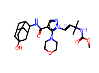 COC(=O)NC(C)(C)/C=C/n1ncc(C(=O)NC2C3CC4CC2CC(O)(C4)C3)c1N1CCOCC1